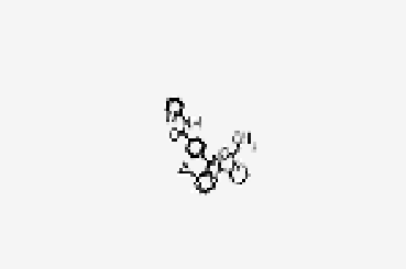 C=CC(=O)N1CCCCC1c1nc(-c2ccc(C(=O)Nc3ccccn3)cc2)c2c(C3CC3)nccn12